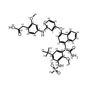 COc1cc(Nc2cc(Oc3ccc(N(C(N)=O)c4cc(C(C)(C)C)cc(NS(C)(=O)=O)c4OC)c4ccccc34)ccn2)ccc1CC(=O)O